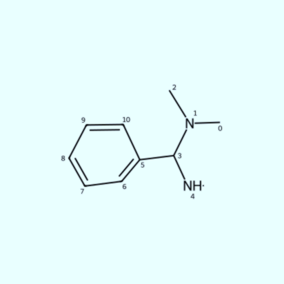 CN(C)C([NH])c1ccccc1